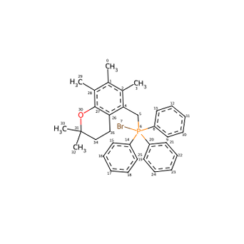 Cc1c(C)c(CP(Br)(c2ccccc2)(c2ccccc2)c2ccccc2)c2c(c1C)OC(C)(C)CC2